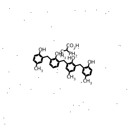 CC(P)C(=O)O.Cc1ccc(O)c(Cc2cccc(Cc3cc(C)cc(Cc4cc(C)ccc4O)c3O)c2O)c1